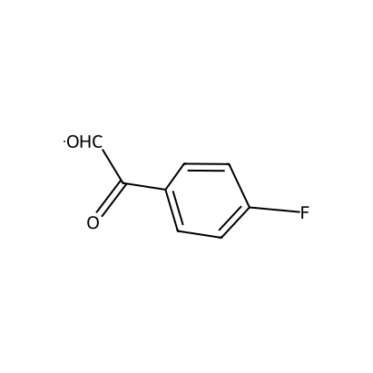 O=[C]C(=O)c1ccc(F)cc1